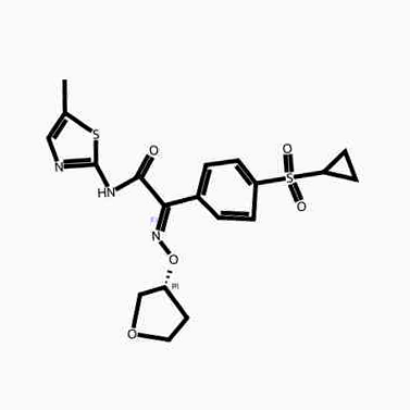 Cc1cnc(NC(=O)/C(=N/O[C@@H]2CCOC2)c2ccc(S(=O)(=O)C3CC3)cc2)s1